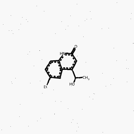 CCc1ccc2[nH]c(=O)cc(C(C)O)c2c1